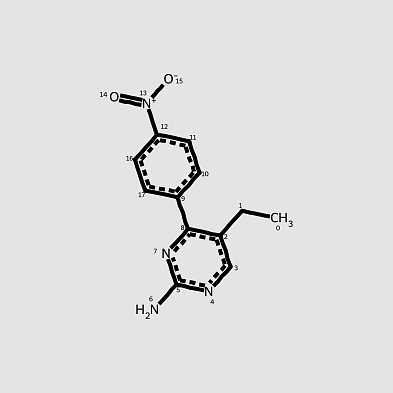 CCc1cnc(N)nc1-c1ccc([N+](=O)[O-])cc1